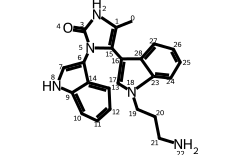 Cc1[nH]c(=O)n(-c2c[nH]c3ccccc23)c1-c1cn(CCCN)c2ccccc12